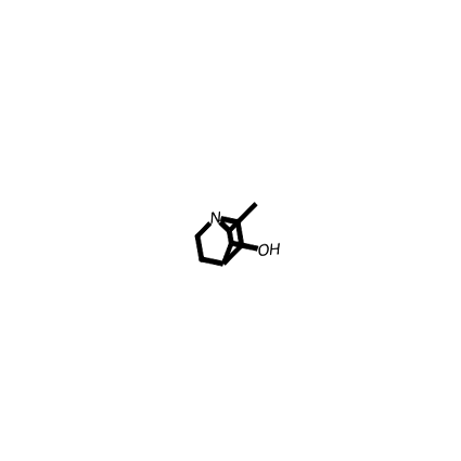 CC1C(O)C2CCN1CC2